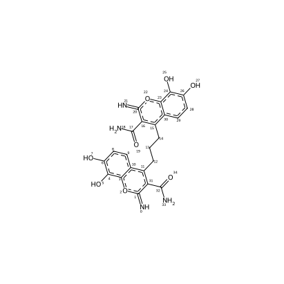 N=c1oc2c(O)c(O)ccc2c(CCCc2c(C(N)=O)c(=N)oc3c(O)c(O)ccc23)c1C(N)=O